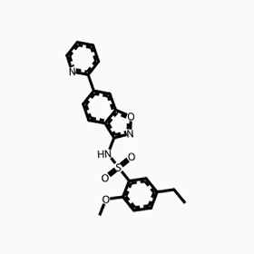 CCc1ccc(OC)c(S(=O)(=O)Nc2noc3cc(-c4ccccn4)ccc23)c1